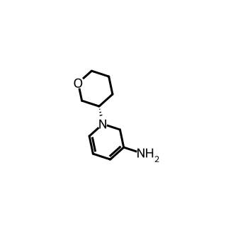 NC1=CC=CN([C@H]2CCCOC2)C1